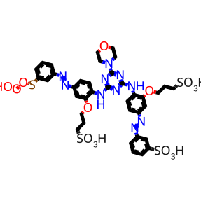 O=S(=O)(O)CCCOc1cc(N=Nc2cccc(SOOO)c2)ccc1Nc1nc(Nc2ccc(N=Nc3cccc(S(=O)(=O)O)c3)cc2OCCCS(=O)(=O)O)nc(N2CCOCC2)n1